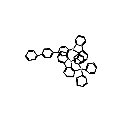 c1ccc(-c2ccc(-c3ccc(-n4c5ccccc5c5cccc(-n6c7ccccc7c7cccc([Si](c8ccccc8)(c8ccccc8)c8ccccc8)c76)c54)cc3)cc2)cc1